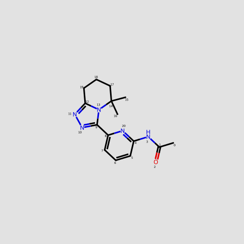 CC(=O)Nc1cccc(-c2nnc3n2C(C)(C)CCC3)n1